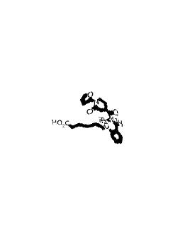 [2H]C(c1ccccc1OCCCCCC(=O)O)N(C(=O)C1CCN(c2ccco2)C(=O)C1)C(C)C